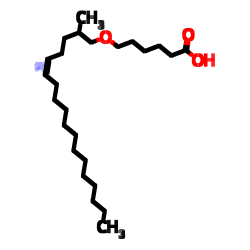 CCCCCCCCCCCC/C=C\CCC(C)COCCCCCC(=O)O